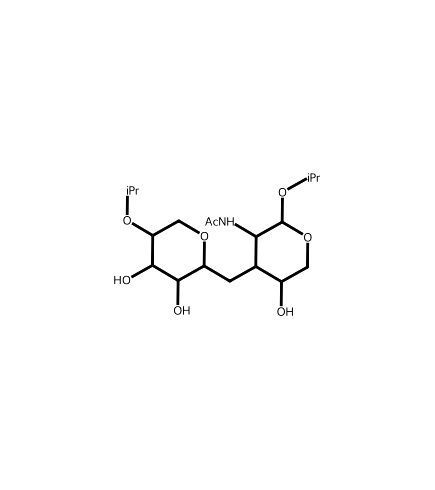 CC(=O)NC1C(OC(C)C)OCC(O)C1CC1OCC(OC(C)C)C(O)C1O